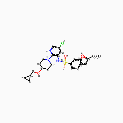 CCOC(=O)c1cc2ccc(S(=O)(=O)Nc3cc(Cl)cnc3N3CCC(OCC4CC4)CC3)cc2o1